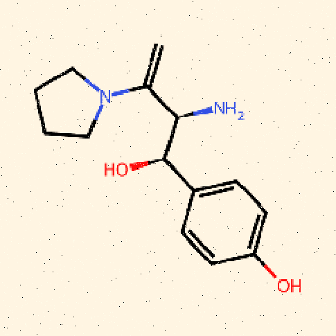 C=C([C@@H](N)[C@H](O)c1ccc(O)cc1)N1CCCC1